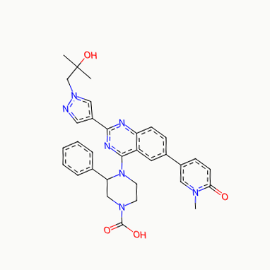 Cn1cc(-c2ccc3nc(-c4cnn(CC(C)(C)O)c4)nc(N4CCN(C(=O)O)CC4c4ccccc4)c3c2)ccc1=O